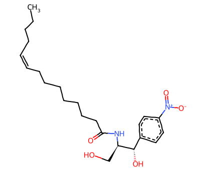 CCCC/C=C\CCCCCCCC(=O)N[C@H](CO)[C@@H](O)c1ccc([N+](=O)[O-])cc1